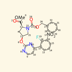 COC(=O)[C@@H]1C[C@H](Oc2nccc(-c3cccc([N+](=O)[O-])c3F)n2)CN1C(=O)OCc1ccccc1